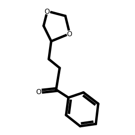 O=C(CCC1COCO1)c1ccccc1